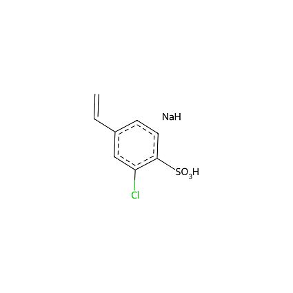 C=Cc1ccc(S(=O)(=O)O)c(Cl)c1.[NaH]